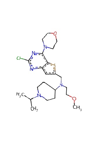 COCCN(Cc1cc2nc(Cl)nc(N3CCOCC3)c2s1)C1CCN(C(C)C)CC1